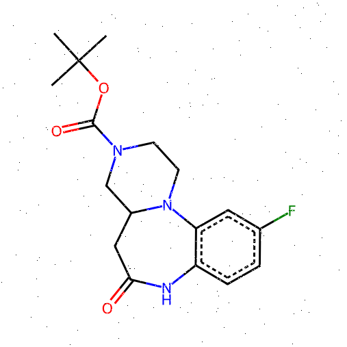 CC(C)(C)OC(=O)N1CCN2c3cc(F)ccc3NC(=O)CC2C1